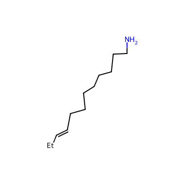 CCC=CCCCCCCCCN